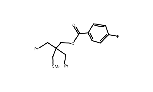 CNCC(COC(=O)c1ccc(F)cc1)(CC(C)C)CC(C)C